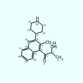 CC(O)C(=O)c1c(C(=O)O)c(C2CCNCC2)nc2ccccc12